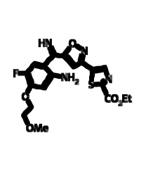 CCOC(=O)c1ncc(-c2cc(C(=N)c3cc(F)c(OCCOC)cc3N)on2)s1